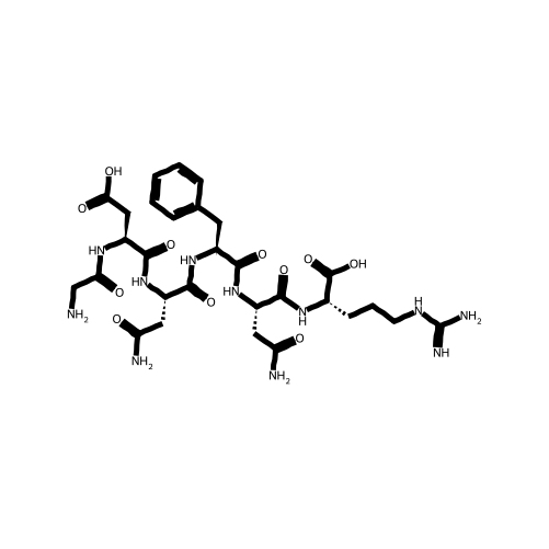 N=C(N)NCCC[C@H](NC(=O)[C@H](CC(N)=O)NC(=O)[C@H](Cc1ccccc1)NC(=O)[C@H](CC(N)=O)NC(=O)[C@H](CC(=O)O)NC(=O)CN)C(=O)O